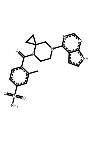 Cc1cc(S(N)(=O)=O)ccc1C(=O)N1CCN(c2ncnc3[nH]ccc23)CC12CC2